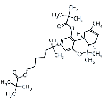 CC1=CC[C@@H]2[C@@H](C1)c1c(OC(=O)C(C)(C)C)cc(C(C)(C)CCCCCOC(=O)C(C)(C)C)cc1OC2(C)C